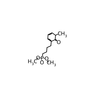 COP(=O)(CCCCC1=CC=CC(C)C1=O)OC